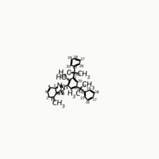 C[C@H]1CC=Cc2nn(-c3cc(C(C)(C)c4ccccc4)cc(C(C)(C)c4ccccc4)c3O)nc21